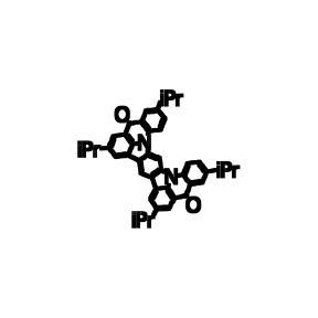 CC(C)c1ccc2c(c1)c(=O)c1cc(C(C)C)cc3c4cc5c6cc(C(C)C)cc7c(=O)c8cc(C(C)C)ccc8n(c5cc4n2c13)c76